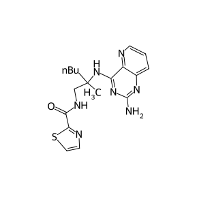 CCCCC(C)(CNC(=O)c1nccs1)Nc1nc(N)nc2cccnc12